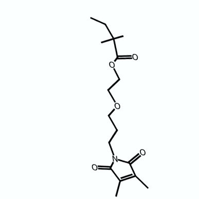 CCC(C)(C)C(=O)OCCOCCCN1C(=O)C(C)=C(C)C1=O